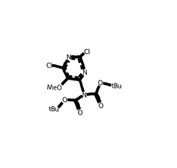 COc1c(Cl)nc(Cl)nc1N(C(=O)OC(C)(C)C)C(=O)OC(C)(C)C